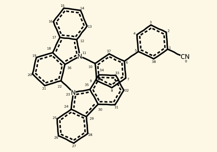 N#Cc1cccc(-c2cccc(-n3c4ccccc4c4cccc(-n5c6ccccc6c6ccccc65)c43)c2)c1